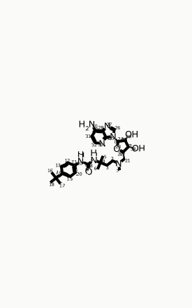 CN(CCC(C)(C)NC(=O)Nc1ccc(C(C)(C)C)cc1)C[C@H]1O[C@@H](n2cnc3c(N)ccnc32)[C@H](O)[C@@H]1O